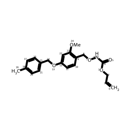 C=CCOC(=O)NOCc1ccc(OCc2ccc(C)cc2)cc1OC